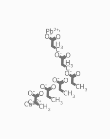 CCC(=O)[O-].CCC(=O)[O-].CCC(=O)[O-].CCC(=O)[O-].CCC(=O)[O-].CCC(=O)[O-].[Ca+2].[Ca+2].[Pb+2]